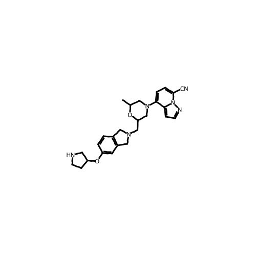 CC1CN(c2ccc(C#N)n3nccc23)CC(CN2Cc3ccc(OC4CCNC4)cc3C2)O1